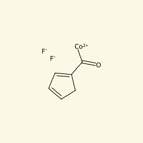 O=[C]([Co+2])C1=CC=CC1.[F-].[F-]